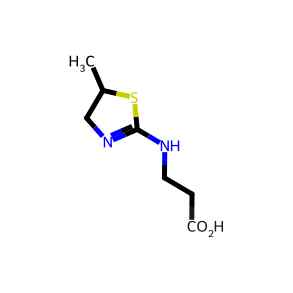 CC1CN=C(NCCC(=O)O)S1